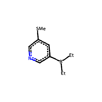 CCB(CC)c1cncc(SC)c1